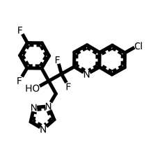 OC(Cn1cncn1)(c1ccc(F)cc1F)C(F)(F)c1ccc2cc(Cl)ccc2n1